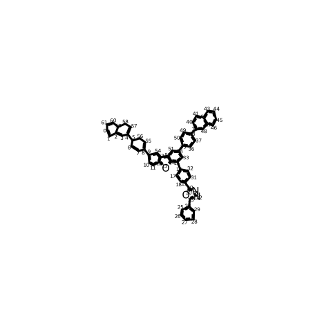 C1=CC2=CC(C3C=CC(c4ccc5oc6c(-c7ccc(-c8nnc(-c9ccccc9)o8)cc7)cc(-c7ccc(-c8ccc9ccccc9c8)cc7)cc6c5c4)=CC3)=CCC2C=C1